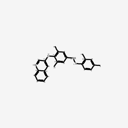 Cc1ccc(SNc2cc(C)c(Oc3cnc4ccccc4c3)c(C)c2)c(C)c1